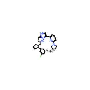 CN[C@@H]1CCN(c2cccc(-c3cnc4ccc(CC5CCCC5c5cccc(F)c5)nn34)n2)C1